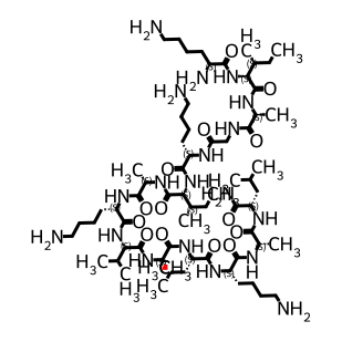 CC[C@H](C)[C@H](NC(=O)[C@H](CCCCN)NC(=O)CNC(=O)[C@H](C)NC(=O)[C@@H](NC(=O)[C@@H](N)CCCCN)[C@@H](C)CC)C(=O)N[C@@H](C)C(=O)N[C@@H](CCCCN)C(=O)N[C@H](C(=O)N[C@@H](C)C(=O)N[C@@H](CC(C)C)C(=O)N[C@@H](CCCCN)C(=O)N[C@@H](C)C(=O)N[C@@H](CC(C)C)C(N)=O)C(C)C